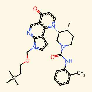 C[C@@H]1CCN(C(=O)Nc2ccccc2C(F)(F)F)C[C@@H]1n1ccc(=O)c2cnc3c(ccn3COCC[Si](C)(C)C)c21